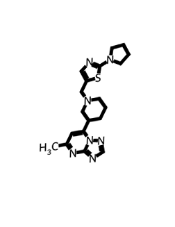 Cc1cc(C2CCCN(Cc3cnc(N4CCCC4)s3)C2)n2ncnc2n1